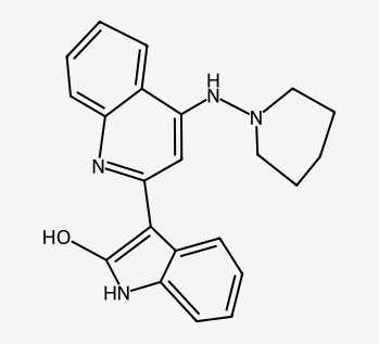 Oc1[nH]c2ccccc2c1-c1cc(NN2CCCCC2)c2ccccc2n1